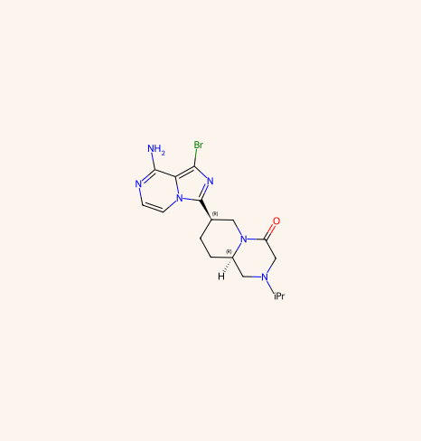 CC(C)N1CC(=O)N2C[C@H](c3nc(Br)c4c(N)nccn34)CC[C@@H]2C1